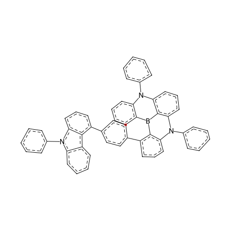 c1ccc(N2c3ccccc3B3c4c(-c5ccc(-c6cccc7c6c6ccccc6n7-c6ccccc6)cc5)cccc4N(c4ccccc4)c4cccc2c43)cc1